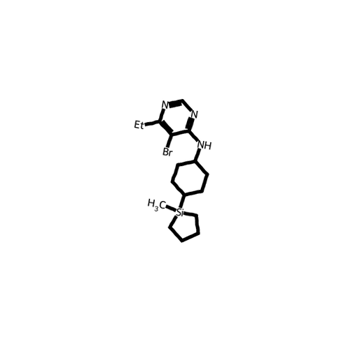 CCc1ncnc(NC2CCC([Si]3(C)CCCC3)CC2)c1Br